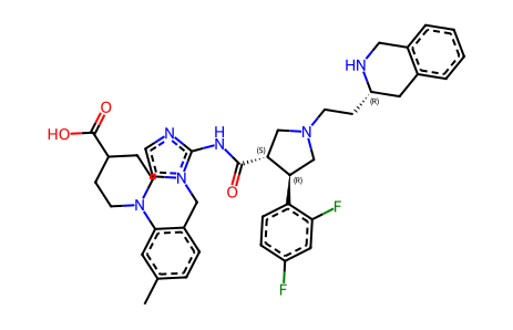 Cc1ccc(Cn2ccnc2NC(=O)[C@@H]2CN(CC[C@H]3Cc4ccccc4CN3)C[C@H]2c2ccc(F)cc2F)c(N2CCC(C(=O)O)CC2)c1